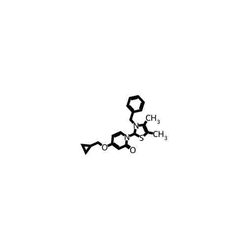 CC1=C(C)N(Cc2ccccc2)C(n2ccc(OCC3CC3)cc2=O)S1